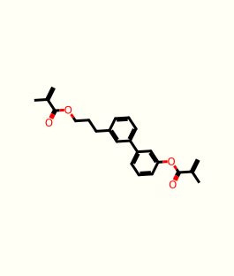 C=C(C)C(=O)OCCCc1cccc(-c2cccc(OC(=O)C(=C)C)c2)c1